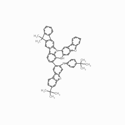 CC(C)(C)c1ccc(Nc2cc3sc4cc(C(C)(C)C)ccc4c3cc2-c2ccc3c4cc5c(cc4n4c3c2Bc2cc3oc6ccccc6c3cc2-4)-c2ccccc2C5(C)C)cc1